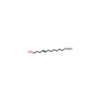 CCCCCCCCCCCCCC=CCCCO